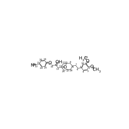 COc1ccc(CCC2CC3CC(CC(O)COc4ccc(C#N)cc4)CC(C2)O3)cc1OC